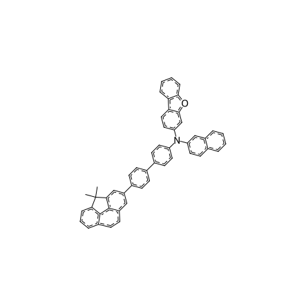 CC1(C)c2cccc3ccc4cc(-c5ccc(-c6ccc(N(c7ccc8ccccc8c7)c7ccc8c(c7)oc7ccccc78)cc6)cc5)cc1c4c23